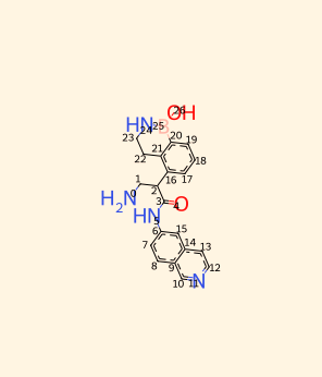 NCC(C(=O)Nc1ccc2cnccc2c1)c1cccc2c1CCNB2O